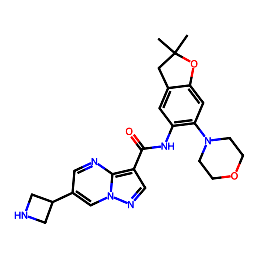 CC1(C)Cc2cc(NC(=O)c3cnn4cc(C5CNC5)cnc34)c(N3CCOCC3)cc2O1